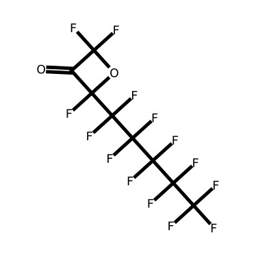 O=C1C(F)(F)OC1(F)C(F)(F)C(F)(F)C(F)(F)C(F)(F)C(F)(F)F